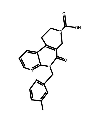 Cc1cccc(Cn2c(=O)c3c(c4cccnc42)CCN(C(=O)O)C3)c1